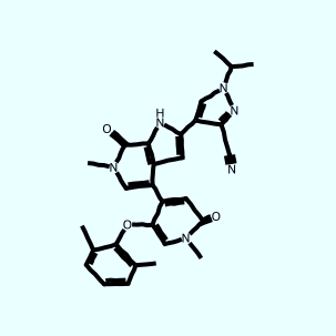 Cc1cccc(C)c1Oc1cn(C)c(=O)cc1-c1cn(C)c(=O)c2[nH]c(-c3cn(C(C)C)nc3C#N)cc12